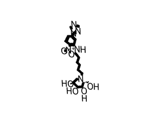 O=[N+]([O-])c1ccc(-n2cncn2)cc1NCCCCCCN1C[C@H](O)[C@@H](O)[C@H](O)[C@H]1CO